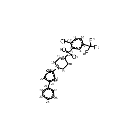 O=S(=O)(c1cc(C(F)(F)F)ccc1Cl)N1CCN(c2nc(-c3ccccc3)cs2)CC1